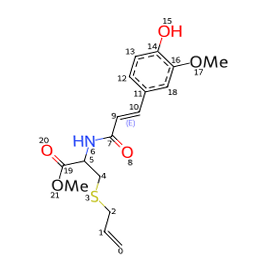 C=CCSCC(NC(=O)/C=C/c1ccc(O)c(OC)c1)C(=O)OC